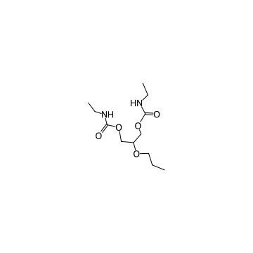 CCCOC(COC(=O)NCC)COC(=O)NCC